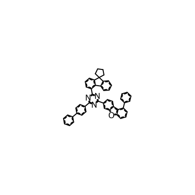 c1ccc(-c2ccc(-c3nc(-c4ccc5c(c4)oc4cccc(-c6ccccc6)c45)nc(-c4cccc5c4-c4ccccc4C54CCCC4)n3)cc2)cc1